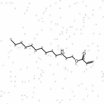 C=CC(=O)OCCNCCCCCCCCCC